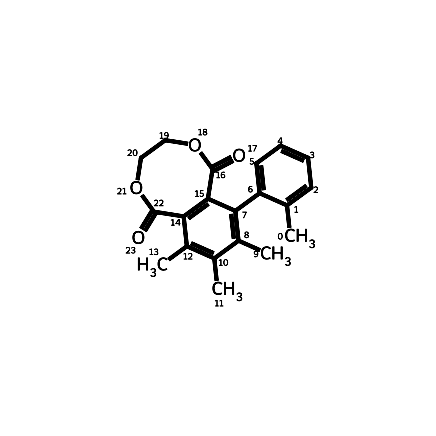 Cc1ccccc1-c1c(C)c(C)c(C)c2c1C(=O)OCCOC2=O